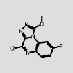 COc1nnc2c(Cl)nc3ccc(F)cc3n12